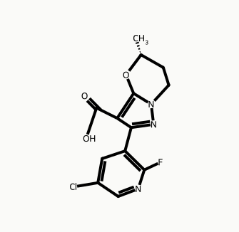 C[C@@H]1CCn2nc(-c3cc(Cl)cnc3F)c(C(=O)O)c2O1